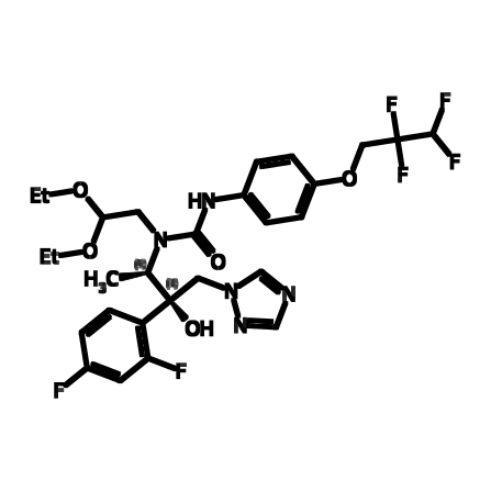 CCOC(CN(C(=O)Nc1ccc(OCC(F)(F)C(F)F)cc1)[C@H](C)[C@](O)(Cn1cncn1)c1ccc(F)cc1F)OCC